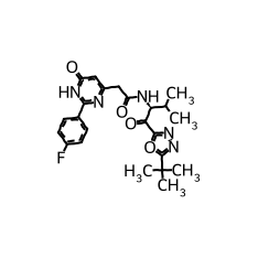 CC(C)[C@H](NC(=O)Cc1cc(=O)[nH]c(-c2ccc(F)cc2)n1)C(=O)c1nnc(C(C)(C)C)o1